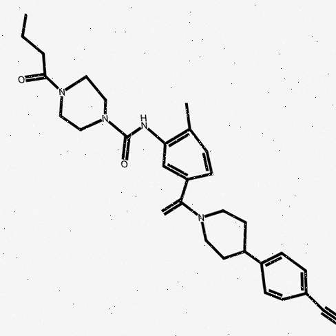 C=C(c1ccc(C)c(NC(=O)N2CCN(C(=O)CCC)CC2)c1)N1CCC(c2ccc(C#N)cc2)CC1